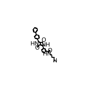 CN(C)CCCNC(=O)c1cccc(C2=C3C(=O)NC(c4ccc(-c5ccccc5)cc4)=C3C(=O)N2)c1